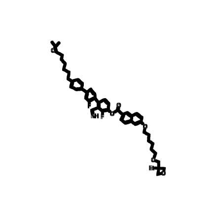 CCC1(COCCCCCCOc2ccc3cc(C(=O)Oc4ccc(-c5ccc(-c6ccc(CCCCCCC7OC7(C)C)cc6)cc5F)c(C=N)c4F)ccc3c2)COC1